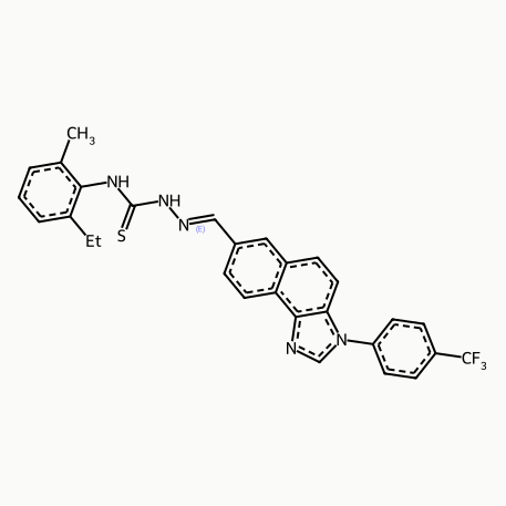 CCc1cccc(C)c1NC(=S)N/N=C/c1ccc2c(ccc3c2ncn3-c2ccc(C(F)(F)F)cc2)c1